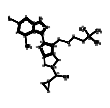 Cc1cc(Br)cc2[nH]nc(-c3nc4c(n3COCC[Si](C)(C)C)CN(C(O)C3CC3)C4)c12